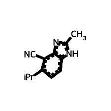 Cc1nc2c(C#N)c(C(C)C)ccc2[nH]1